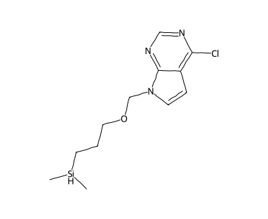 C[SiH](C)CCCOCn1ccc2c(Cl)ncnc21